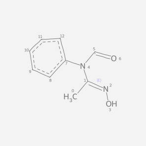 C/C(=N\O)N([C]=O)c1ccccc1